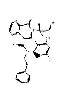 CC(C)(CO)N1C(=O)c2ccccc2[C@@H](C(=O)NCCc2ccccc2)[C@@H]1c1ccc(Cl)cc1Cl